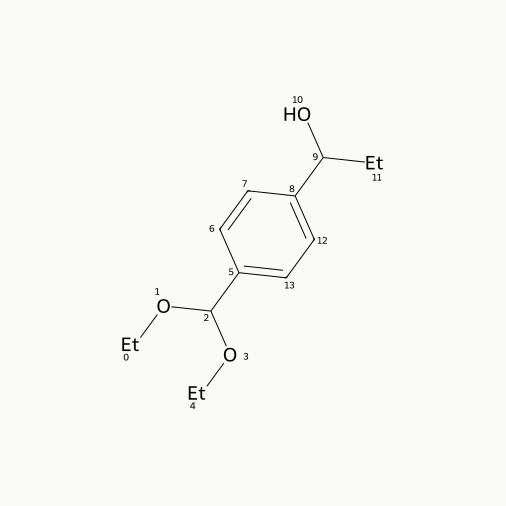 CCOC(OCC)c1ccc(C(O)CC)cc1